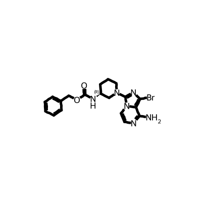 Nc1nccn2c(N3CCC[C@@H](NC(=O)OCc4ccccc4)C3)nc(Br)c12